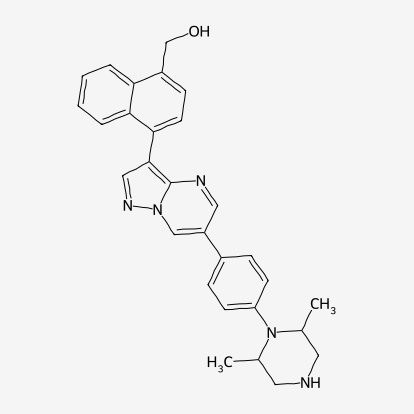 CC1CNCC(C)N1c1ccc(-c2cnc3c(-c4ccc(CO)c5ccccc45)cnn3c2)cc1